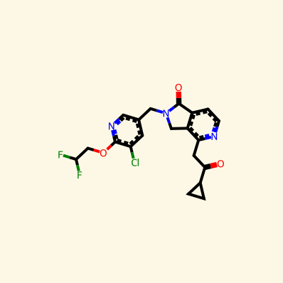 O=C(Cc1nccc2c1CN(Cc1cnc(OCC(F)F)c(Cl)c1)C2=O)C1CC1